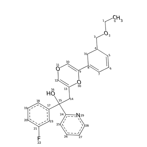 CCOCC1C=CC=C(C2=COC=C(CC(O)(c3cccc(F)c3)c3ccccn3)O2)C1